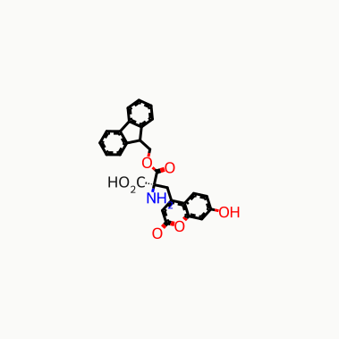 N[C@@](Cc1cc(=O)oc2cc(O)ccc12)(C(=O)O)C(=O)OCC1c2ccccc2-c2ccccc21